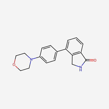 O=C1NCc2c1cccc2-c1ccc(N2CCOCC2)cc1